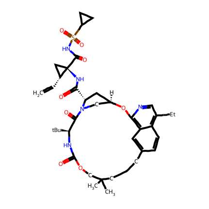 C=C[C@@H]1C[C@]1(NC(=O)[C@@H]1C[C@@H]2CN1C(=O)[C@H](C(C)(C)C)NC(=O)OCC(C)(C)CCCc1ccc3c(CC)cnc(c3c1)O2)C(=O)NS(=O)(=O)C1CC1